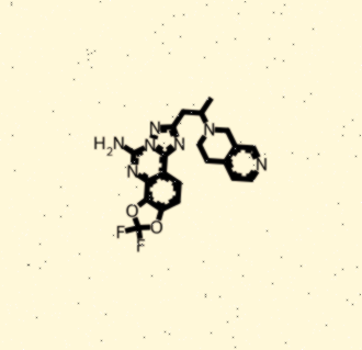 CC(Cc1nc2c3ccc4c(c3nc(N)n2n1)OC(F)(F)O4)N1CCc2ccncc2C1